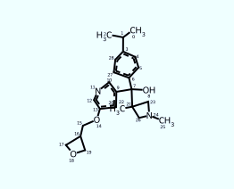 CC(C)c1ccc(C(O)(c2cncc(OCC3COC3)c2)C2(C)CN(C)C2)cc1